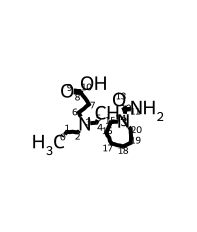 CCCN(CC)CCC(=O)O.NC(=O)N1CCCCCC1